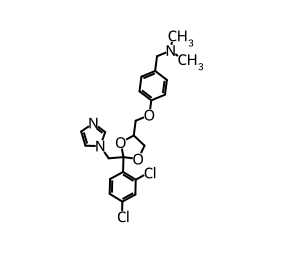 CN(C)Cc1ccc(OCC2COC(Cn3ccnc3)(c3ccc(Cl)cc3Cl)O2)cc1